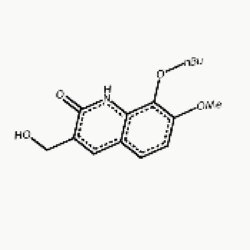 CCCCOc1c(OC)ccc2cc(CO)c(=O)[nH]c12